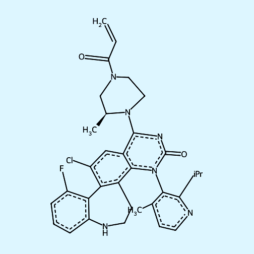 C=CC(=O)N1CCN(c2nc(=O)n(-c3c(C)ccnc3C(C)C)c3c4c(c(Cl)cc23)-c2c(F)cccc2NCC4)[C@@H](C)C1